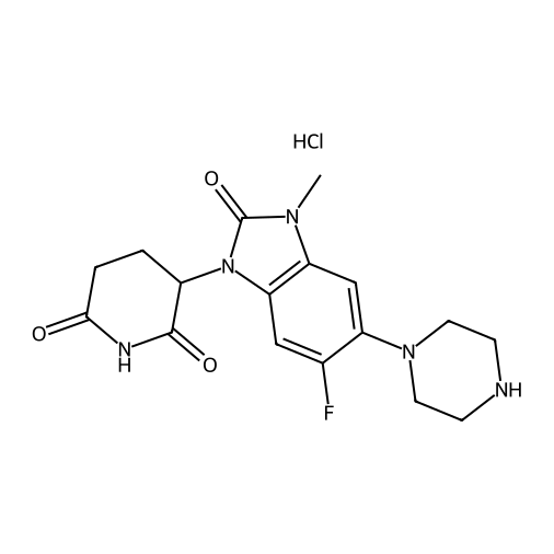 Cl.Cn1c(=O)n(C2CCC(=O)NC2=O)c2cc(F)c(N3CCNCC3)cc21